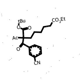 CCOC(=O)CCCCCC(C(C)=O)(C(=O)OC(C)(C)C)C(=O)c1cccc(C#N)c1